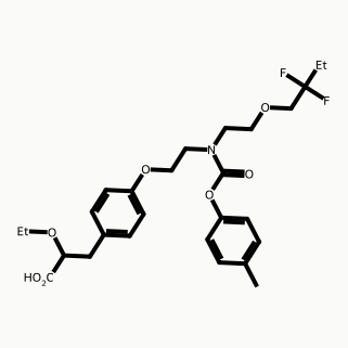 CCOC(Cc1ccc(OCCN(CCOCC(F)(F)CC)C(=O)Oc2ccc(C)cc2)cc1)C(=O)O